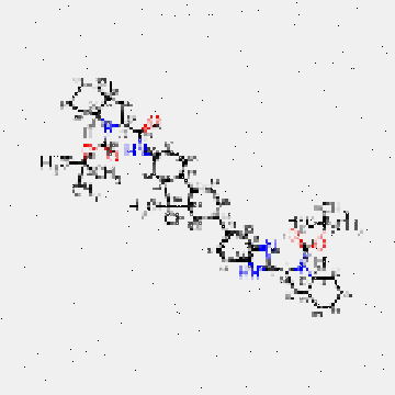 CC(C)(C)OC(=O)N1[C@H](c2nc3cc(-c4ccc5c(c4)C(C)(C)c4cc(NC(=O)[C@@H]6C[C@@H]7CCCC[C@@H]7N6C(=O)OC(C)(C)C)ccc4-5)ccc3[nH]2)CC2CCCC[C@@H]21